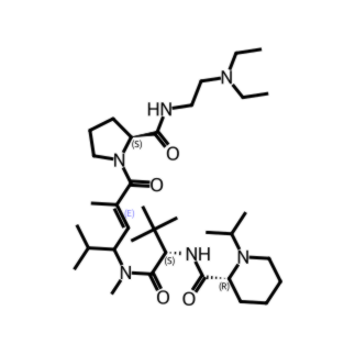 CCN(CC)CCNC(=O)[C@@H]1CCCN1C(=O)/C(C)=C/C(C(C)C)N(C)C(=O)[C@@H](NC(=O)[C@H]1CCCCN1C(C)C)C(C)(C)C